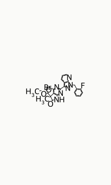 CCOC(=O)C1(C)C(=O)Nc2nc(-c3nn(Cc4ccccc4F)c4ncccc34)nc(Br)c21